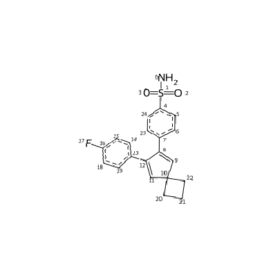 NS(=O)(=O)c1ccc(C2=CC3(C=C2c2ccc(F)cc2)CCC3)cc1